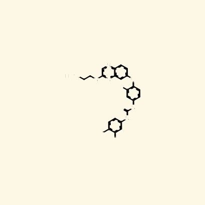 O=C(Nc1ccc(Cl)c(F)c1)Nc1ccc(Oc2ccc3ncc(NCC[AsH2])nc3c2)c(F)c1